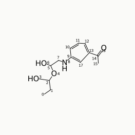 CCC(O)OC(O)CNc1cccc(C(C)=O)c1